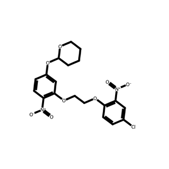 O=[N+]([O-])c1ccc(OC2CCCCO2)cc1OCCOc1ccc(Cl)cc1[N+](=O)[O-]